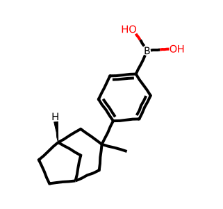 CC1(c2ccc(B(O)O)cc2)CC2CC[C@@H](C2)C1